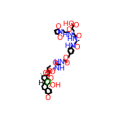 CCC(=O)O[C@]1(C(=O)COCNC(=O)CNC(=O)OCc2ccc(NC(=O)[C@H](C)NC(=O)[C@H](CCC(=O)O)NC(=O)CCN3C(=O)C=CC3=O)cc2)[C@@H](C)CC2[C@@H]3CCC4=CC(=O)C=C[C@]4(C)[C@@]3(Cl)[C@@H](O)C[C@@]21C